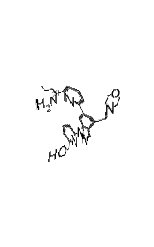 CCC[C@H](N)c1cccc(-c2cc(CN3CCOCC3)c3cnn(-c4cccc(CO)n4)c3c2)n1